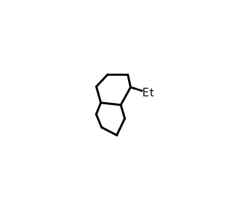 [CH2]CC1CCCC2CCCCC12